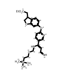 CCOC(=O)CC1COc2cc(Oc3ccc(/C(=C/C=N)NCOCC[Si](C)(C)C)cn3)ccc21